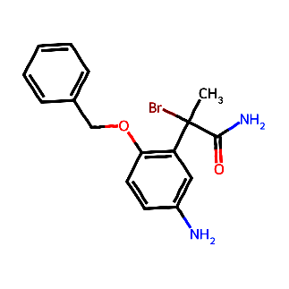 CC(Br)(C(N)=O)c1cc(N)ccc1OCc1ccccc1